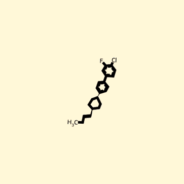 CCC=C[C@H]1CC[C@H](c2ccc(-c3ccc(Cl)c(F)c3)cc2)CC1